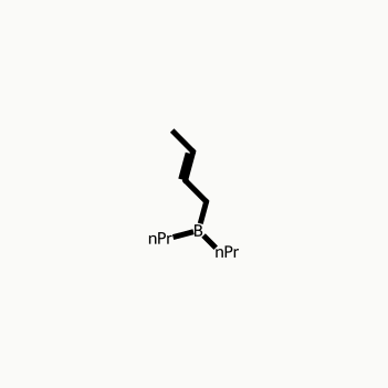 C/C=C/CB(CCC)CCC